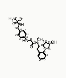 CN(CCc1ccccc1N1CC[C@H](O)C1)C(=O)CNc1ccc(CNS(C)(=O)=O)cc1